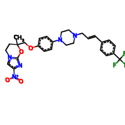 CC1(COc2ccc(N3CCN(CC=Cc4ccc(C(F)(F)F)cc4)CC3)cc2)CCn2cc([N+](=O)[O-])nc2O1